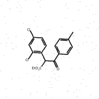 CCOC(=O)C(C(=O)c1ccc(C)cc1)c1ccc(Cl)cc1Cl